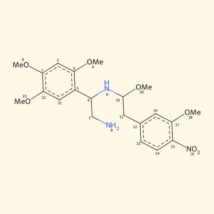 COc1cc(OC)c(C(CN)NC(Cc2ccc([N+](=O)[O-])c(OC)c2)OC)cc1OC